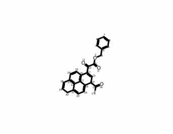 O=C(OCc1ccccc1)C(=O)C1=CC(C(=O)I)c2ccc3c4c(ccc1c24)C=CC3